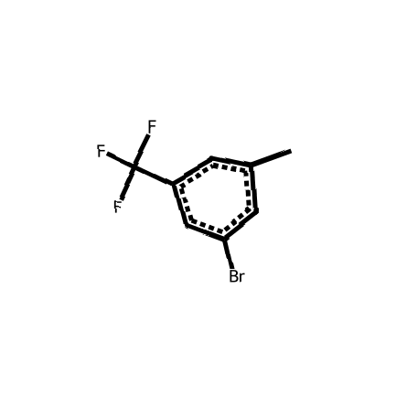 Cc1cc(Br)cc(C(F)(F)F)c1